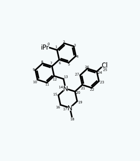 CC(C)c1ccccc1-c1ccccc1CN1CCN(C)CC1c1ccc(Cl)cc1